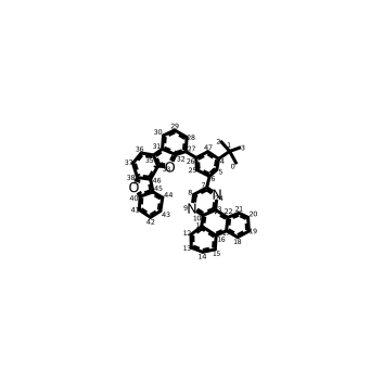 CC(C)(C)c1cc(-c2cnc3c4ccccc4c4ccccc4c3n2)cc(-c2cccc3c2oc2c3ccc3oc4ccccc4c32)c1